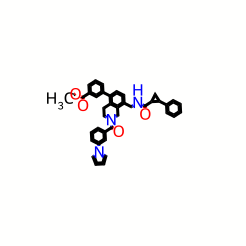 COC(=O)c1cccc(-c2ccc(CNC(=O)C3CC3c3ccccc3)c3c2CCN(C(=O)c2cccc(-n4cccc4)c2)C3)c1